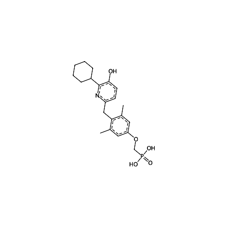 Cc1cc(OCP(=O)(O)O)cc(C)c1Cc1ccc(O)c(C2CCCCC2)n1